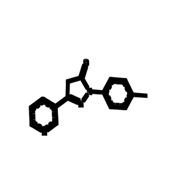 Cc1ccc(N2N=C(c3cccnc3)CC2=O)cc1